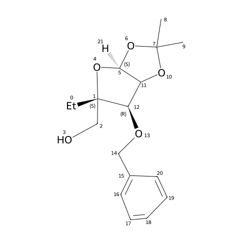 CC[C@@]1(CO)O[C@H]2OC(C)(C)OC2[C@H]1OCc1ccccc1